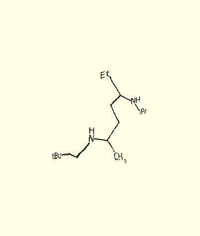 CCC(CCC(C)NCC(C)(C)C)NC(C)C